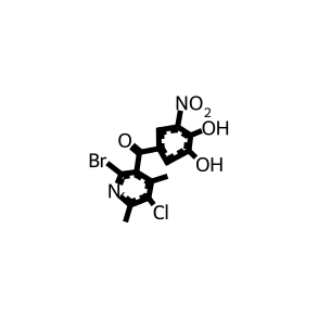 Cc1nc(Br)c(C(=O)c2cc(O)c(O)c([N+](=O)[O-])c2)c(C)c1Cl